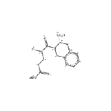 CCN(CCC(=O)OC)C(=O)N1Cc2ccccc2C[C@H]1C(=O)O